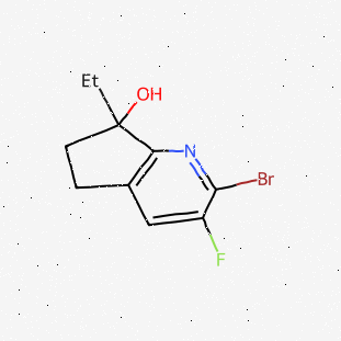 CCC1(O)CCc2cc(F)c(Br)nc21